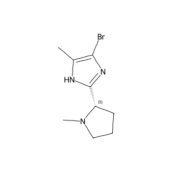 Cc1[nH]c([C@@H]2CCCN2C)nc1Br